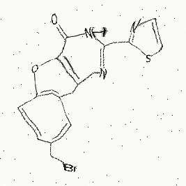 O=c1[nH]c(-c2nccs2)nc2c1oc1ccc(Br)cc12